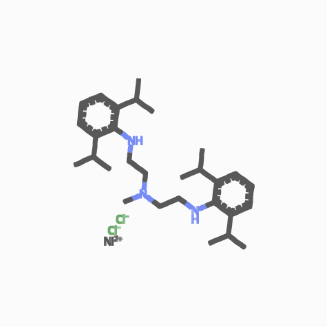 CC(C)c1cccc(C(C)C)c1NCCN(C)CCNc1c(C(C)C)cccc1C(C)C.[Cl-].[Cl-].[Ni+2]